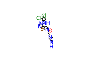 C=CN(C/C=C/C(=O)N1CCc2c(sc3ncnc(Nc4ccc(Cl)c(Cl)c4)c23)C1)CC1CN1